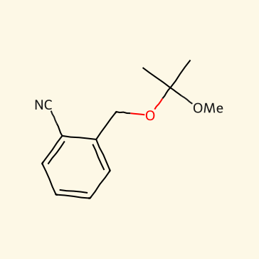 COC(C)(C)OCc1ccccc1C#N